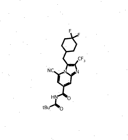 CC(C)(C)C(=O)NC(=O)c1cc(C#N)n2c(CC3CCC(F)(F)CC3)c(C(F)(F)F)nc2c1